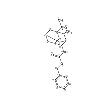 CC1C2CC3CC(CC1(C(=O)O)C3)C2NC(=O)OCc1ccccc1